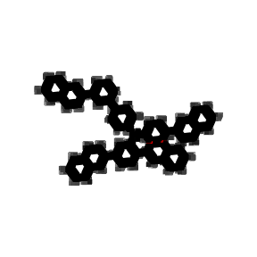 c1cc(-c2ccc(N(c3ccc(-c4ccc5ccccc5c4)cc3)c3cc(-c4ccc5ccccc5c4)ccc3-c3ccc4ccccc4c3)cc2)cc(-c2ccc3ccccc3c2)c1